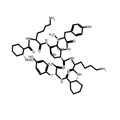 CCCC[C@@H](NC(=O)C(CCCCN)NC(=O)C1CCCC[C@H]1NC(C)=O)C(C=O)N(C)C(Cc1ccc(O)cc1)C(=O)N[C@@H]1CCCC[C@@H]1C(=O)NC(CCCCN)C(=O)N[C@@H]1CCCCC1C(=O)N[C@H](Cc1ccc(O)cc1)C(N)=O